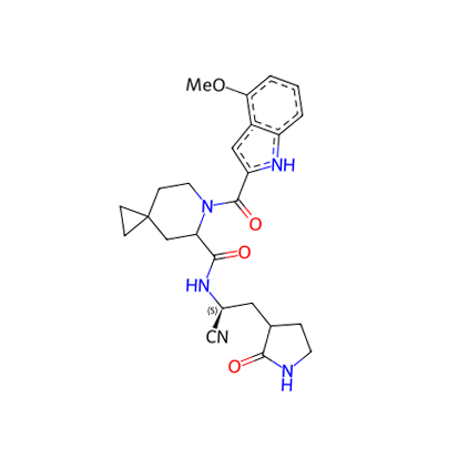 COc1cccc2[nH]c(C(=O)N3CCC4(CC4)CC3C(=O)N[C@H](C#N)CC3CCNC3=O)cc12